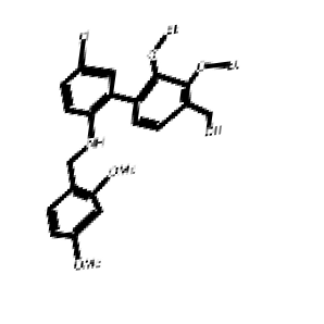 CCOc1c(CO)ccc(-c2cc(Cl)ccc2NCc2ccc(OC)cc2OC)c1OCC